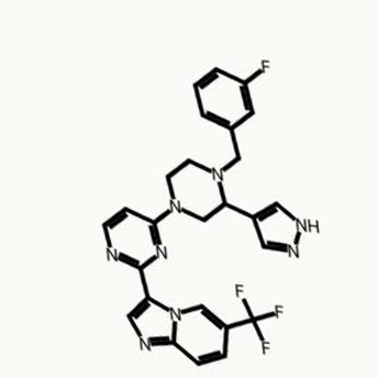 Fc1cccc(CN2CCN(c3ccnc(-c4cnc5ccc(C(F)(F)F)cn45)n3)CC2c2cn[nH]c2)c1